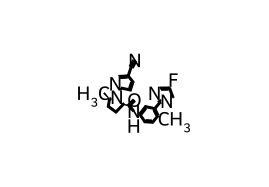 Cc1ccc(NC(=O)[C@H]2CC[C@@H](C)N2c2ccc(C#N)cn2)cc1-c1ncc(F)cn1